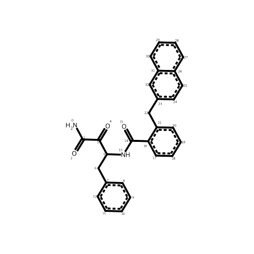 NC(=O)C(=O)C(Cc1ccccc1)NC(=O)c1ccccc1Cc1ccc2ccccc2c1